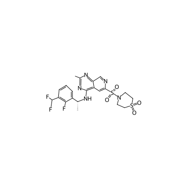 Cc1nc(N[C@H](C)c2cccc(C(F)F)c2F)c2cc(S(=O)(=O)N3CCS(=O)(=O)CC3)ncc2n1